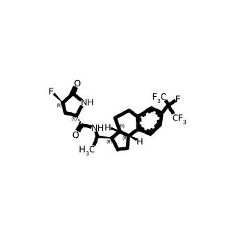 CC(NC(=O)[C@@H]1C[C@@H](F)C(=O)N1)[C@@H]1CC[C@H]2c3ccc(C(F)(C(F)(F)F)C(F)(F)F)cc3CC[C@H]21